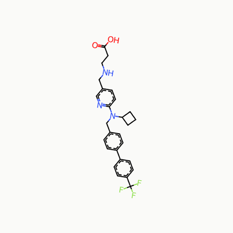 O=C(O)CCNCc1ccc(N(Cc2ccc(-c3ccc(C(F)(F)F)cc3)cc2)C2CCC2)nc1